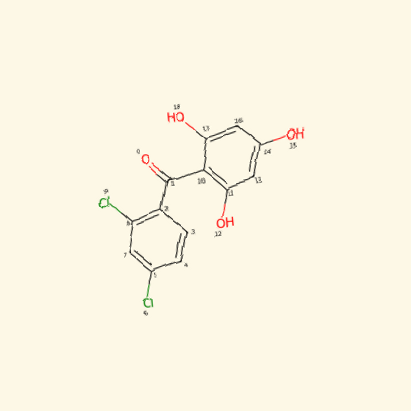 O=C(c1ccc(Cl)cc1Cl)c1c(O)cc(O)cc1O